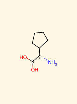 N[C@H](B(O)O)C1CCCC1